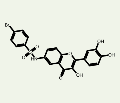 O=c1c(O)c(-c2ccc(O)c(O)c2)oc2ccc(NS(=O)(=O)c3ccc(Br)cc3)cc12